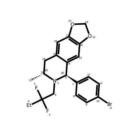 CCC(F)(F)CN1[C@H](c2ccc(Br)cc2)c2cc3c(cc2C[C@H]1C)OCO3